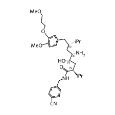 COCCCOc1cc(C[C@@H](C[C@H](N)[C@@H](O)C[C@H](C(=O)NCc2ccc(C#N)cc2)C(C)C)C(C)C)ccc1OC